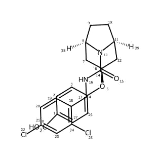 O=C(O)c1ccc(O[C@H]2C[C@H]3CC[C@@H](C2)N3C(=O)NCc2ccc(Cl)cc2Cl)cc1